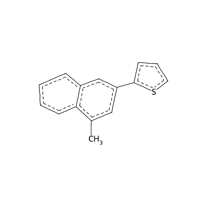 Cc1cc(-c2cccs2)cc2ccccc12